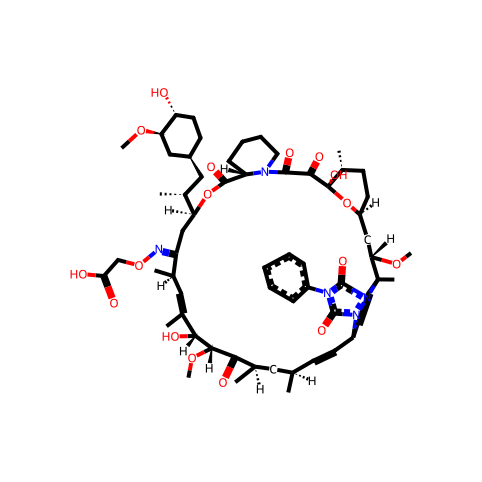 CO[C@H]1C[C@@H]2CC[C@@H](C)[C@@](O)(O2)C(=O)C(=O)N2CCCC[C@H]2C(=O)O[C@H]([C@H](C)C[C@@H]2CC[C@@H](O)[C@H](OC)C2)C/C(=N/OCC(=O)O)[C@H](C)/C=C(\C)[C@@H](O)[C@@H](OC)C(=O)[C@H](C)C[C@H](C)/C=C/C2C=CC1(C)n1c(=O)n(-c3ccccc3)c(=O)n12